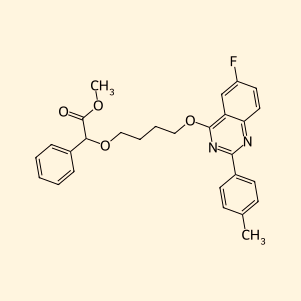 COC(=O)C(OCCCCOc1nc(-c2ccc(C)cc2)nc2ccc(F)cc12)c1ccccc1